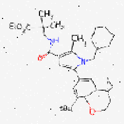 CCOC(=O)C(C)(C)CNC(=O)c1cc(C2=CC3C(OCCC34CC4)C(C(C)(C)C)=C2)n(CC2CCCCC2)c1C